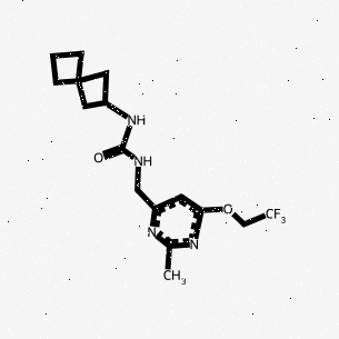 Cc1nc(CNC(=O)NC2CC3(CCC3)C2)cc(OCC(F)(F)F)n1